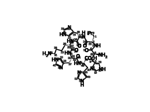 CC(C)C[C@H](NC(=O)[C@@H](N)Cc1c[nH]cn1)C(=O)N[C@@H](Cc1c[nH]cn1)C(=O)N[C@@H](CCCCN)C(=O)N[C@@H](Cc1c[nH]cn1)C(=O)N[C@@H](Cc1c[nH]cn1)C(=O)O